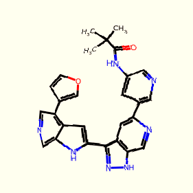 CC(C)(C)C(=O)Nc1cncc(-c2cc3c(-c4cc5c(-c6ccoc6)cncc5[nH]4)n[nH]c3cn2)c1